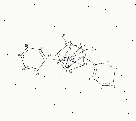 C[C]12[CH]3[CH]4[C]5(c6ccccc6)[CH]1[Cr]34251678[CH]2[CH]1[C]6(c1ccccc1)[CH]7[C]28C